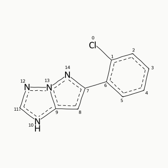 Clc1ccccc1-c1cc2[nH][c]nn2n1